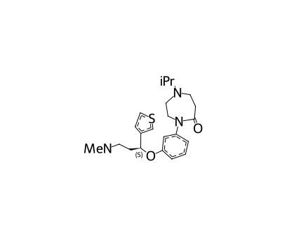 CNCC[C@H](Oc1cccc(N2CCN(C(C)C)CCC2=O)c1)c1ccsc1